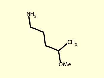 COC(C)CCCN